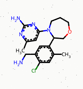 Cc1cc(N2CCCOCC2c2cc(CN)c(Cl)cc2C)nc(N)n1